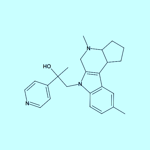 Cc1ccc2c(c1)c1c(n2CC(C)(O)c2ccncc2)CN(C)C2CCCC12